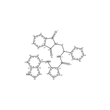 O=C(NC(CN1C(=O)c2ccccc2C1=O)c1ccccc1)c1sccc1Nc1ccnc2[nH]ccc12